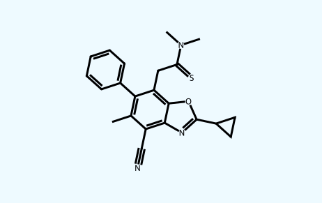 Cc1c(-c2ccccc2)c(CC(=S)N(C)C)c2oc(C3CC3)nc2c1C#N